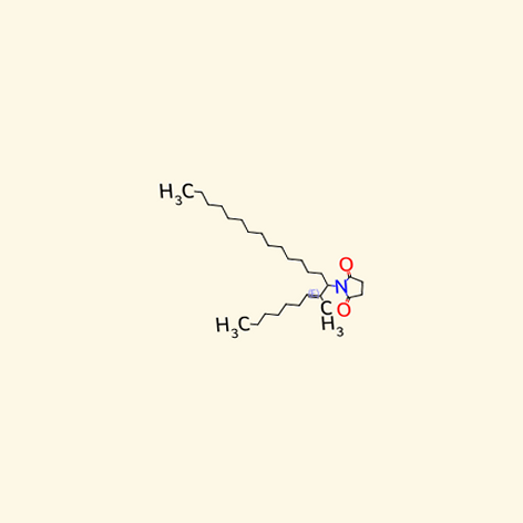 CCCCCC/C=C(\C)C(CCCCCCCCCCCCCC)N1C(=O)CCC1=O